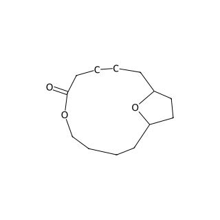 O=C1CCCCC2CCC(CCCCO1)O2